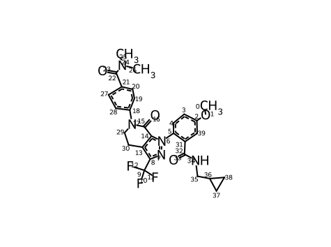 COc1ccc(-n2nc(C(F)(F)F)c3c2C(=O)N(c2ccc(C(=O)N(C)C)cc2)CC3)c(C(=O)NCC2CC2)c1